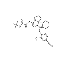 COc1cc(C#N)ccc1CNC(=O)[C@]1(C2CCCCC2)CCCN1C(=O)CNC(=O)OC(C)(C)C